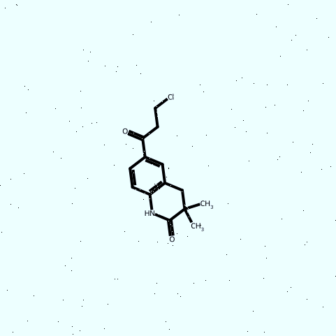 CC1(C)Cc2cc(C(=O)CCCl)ccc2NC1=O